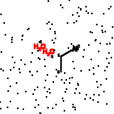 C[CH2][Al].O.O